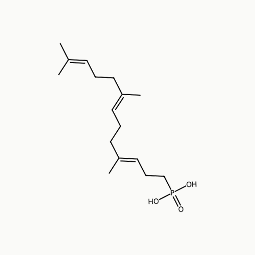 CC(C)=CCCC(C)=CCCC(C)=CCCP(=O)(O)O